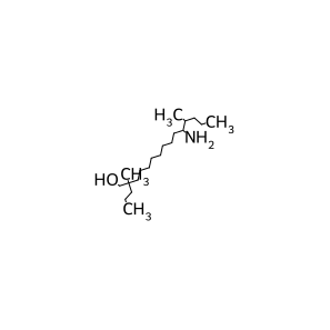 CCCC(C)C(N)CCCCCCCCC(C)(CO)CCC